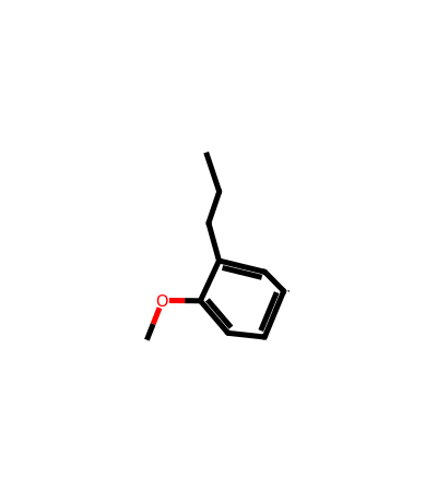 CCCc1c[c]ccc1OC